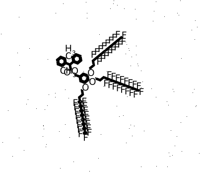 Cc1ccccc1C(C(=O)OCc1cc(OCCCC(F)(F)C(F)(F)C(F)(F)C(F)(F)C(F)(F)C(F)(F)C(F)(F)C(F)(F)F)c(OCCCC(F)(F)C(F)(F)C(F)(F)C(F)(F)C(F)(F)C(F)(F)C(F)(F)C(F)(F)F)c(OCCCC(F)(F)C(F)(F)C(F)(F)C(F)(F)C(F)(F)C(F)(F)C(F)(F)C(F)(F)F)c1)c1ccccc1C